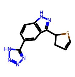 C1=CSC(c2n[nH]c3ccc(-c4nnn[nH]4)cc23)C1